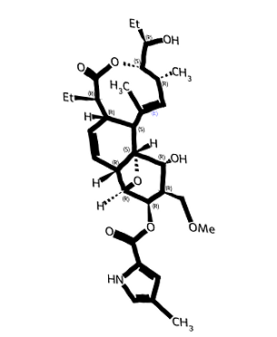 CC[C@@H](O)[C@H]1OC(=O)[C@H](CC)[C@H]2C=C[C@H]3[C@H]4O[C@]2(/C(C)=C/[C@H]1C)[C@@H]3[C@H](O)[C@@H](COC)[C@H]4OC(=O)c1cc(C)c[nH]1